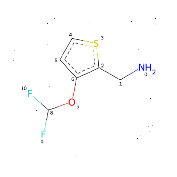 NCc1sccc1OC(F)F